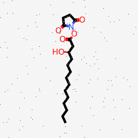 CCCCCCCCCCC[C@@H](O)CC(=O)ON1C(=O)CCC1=O